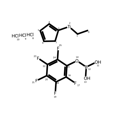 C[CH2][Ti][C]1=CC=CC1.Cl.Cl.Cl.OB(O)Oc1c(F)c(F)c(F)c(F)c1F